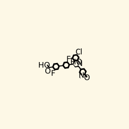 Cn1cc(/C(C[C@@H](c2ccc(-c3ccc(C(=O)O)c(F)c3)cc2)c2ccc(Cl)cc2F)=N/O)ccc1=O